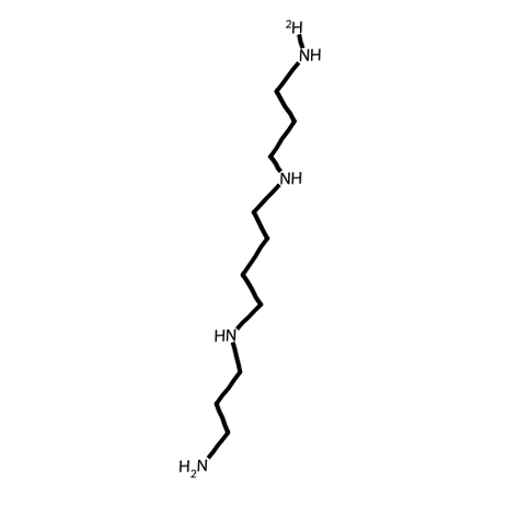 [2H]NCCCNCCCCNCCCN